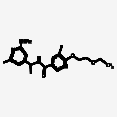 CC(=O)Nc1cc(C(C)NC(=O)c2cnc(OCCOCC(F)(F)F)c(C)c2)cc(C)n1